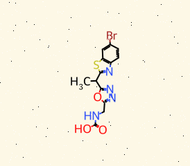 CC(c1nnc(CNC(=O)O)o1)c1nc2ccc(Br)cc2s1